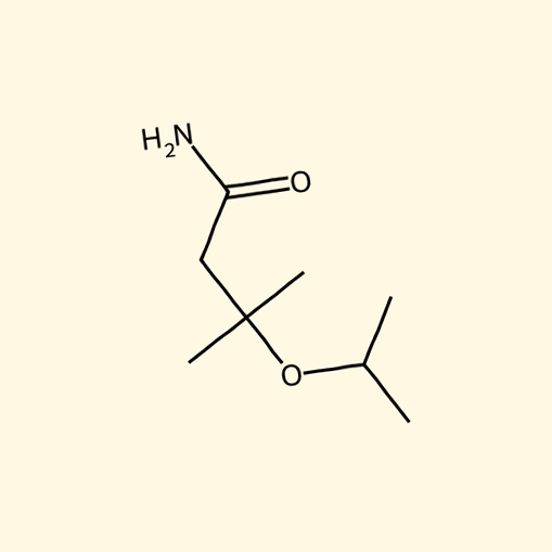 CC(C)OC(C)(C)CC(N)=O